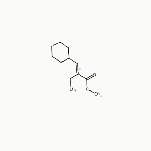 CC/C(=C\C1CCCCC1)C(=O)OC